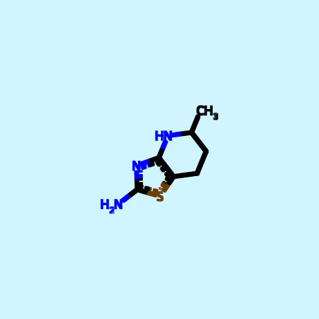 CC1CCc2sc(N)nc2N1